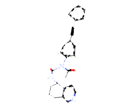 CN1C(=O)N(c2c(F)cc(C#Cc3ccccc3)cc2F)C(=O)C[C@]12CCCc1cnccc12